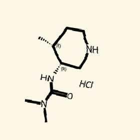 C[C@@H]1CCNC[C@@H]1NC(=O)N(C)C.Cl